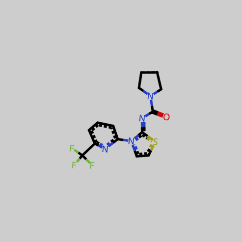 O=C(N=c1sccn1-c1cccc(C(F)(F)F)n1)N1CCCC1